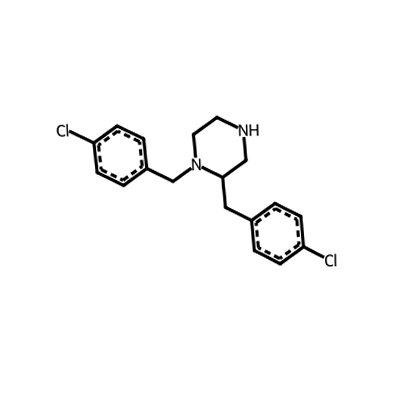 Clc1ccc(CC2CNCCN2Cc2ccc(Cl)cc2)cc1